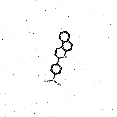 CN(C)c1ccc(C2C=Cc3c(ccc4ccccc34)N2)cc1